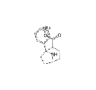 CCCCOC(=O)C1CCC2CCC1(c1ccccc1)N2